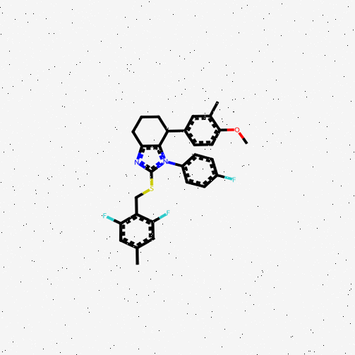 COc1ccc(C2CCCc3nc(SCc4c(F)cc(C)cc4F)n(-c4ccc(F)cc4)c32)cc1C